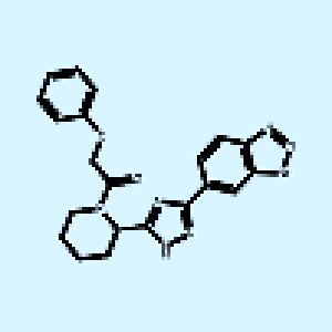 O=C(COc1ccccc1)N1CCCC[C@@H]1c1nc(-c2ccc3nn[nH]c3c2)n[nH]1